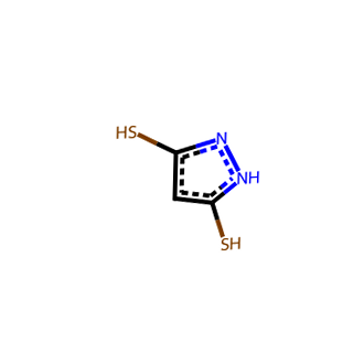 Sc1cc(S)[nH]n1